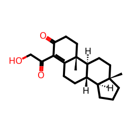 C[C@@]12CCC[C@H]1[C@@H]1CCC3=C(C(=O)CO)C(=O)CC[C@]3(C)[C@H]1CC2